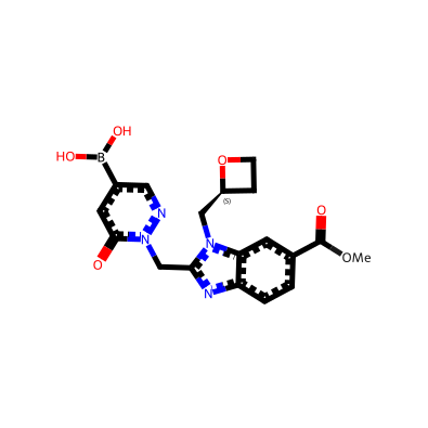 COC(=O)c1ccc2nc(Cn3ncc(B(O)O)cc3=O)n(C[C@@H]3CCO3)c2c1